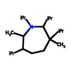 CC(C)C1CCC(C)(C(C)C)C(C(C)C)N(C(C)C)C1C